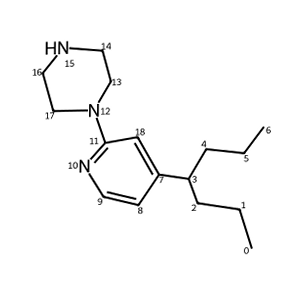 CCCC(CCC)c1ccnc(N2CCNCC2)c1